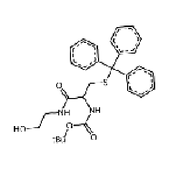 CC(C)(C)OC(=O)NC(CSC(c1ccccc1)(c1ccccc1)c1ccccc1)C(=O)NCCO